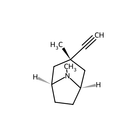 C#C[C@]1(C)C[C@H]2CC[C@@H](C1)N2C